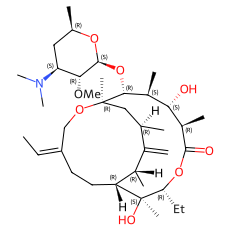 C=C1[C@H](C)C[C@@]2(C)OCC(=CC)CC[C@H]([C@H]1C)[C@](C)(O)[C@@H](CC)OC(=O)[C@H](C)[C@@H](O)[C@H](C)[C@H]2O[C@@H]1O[C@H](C)C[C@H](N(C)C)[C@H]1OC